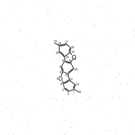 Cc1ccc2oc3cc4c(cc3c2c1)oc1ccc(C)cc14